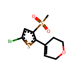 CS(=O)(=O)c1cc(Br)sc1C1=CCOCC1